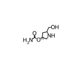 NC(=O)O[C@@H]1CNC(CO)C1